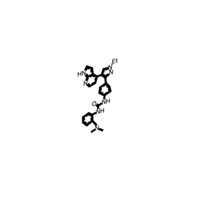 CCn1cc(-c2ccnc3[nH]ccc23)c(-c2ccc(NC(=O)Nc3ccccc3CN(C)C)cc2)n1